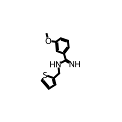 COc1cccc(C(=N)NCc2cccs2)c1